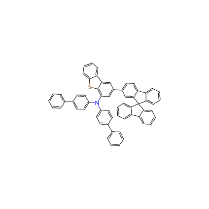 c1ccc(-c2ccc(N(c3ccc(-c4ccccc4)cc3)c3cc(-c4ccc5c(c4)C4(c6ccccc6-c6ccccc64)c4ccccc4-5)cc4c3sc3ccccc34)cc2)cc1